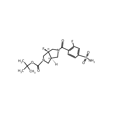 CC(C)(C)OC(=O)N1C[C@@H]2CN(C(=O)c3ccc(S(N)(=O)=O)cc3F)C[C@@]2(F)C1